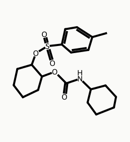 Cc1ccc(S(=O)(=O)OC2CCCCC2OC(=O)NC2CCCCC2)cc1